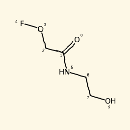 O=C(COF)NCCO